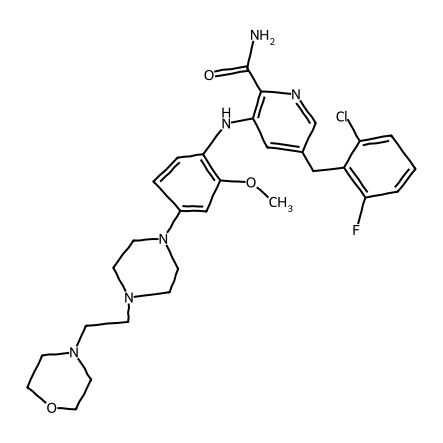 COc1cc(N2CCN(CCN3CCOCC3)CC2)ccc1Nc1cc(Cc2c(F)cccc2Cl)cnc1C(N)=O